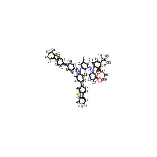 Cc1cc2c3c(c1)N(c1c(C)cc(C(C)(C)C)cc1C)c1c(ccc4c1OCCCO4)B3c1cc(-c3ccc4c(c3)sc3ccccc34)ccc1N2c1ccc(-c2ccc3c(c2)sc2ccccc23)cc1